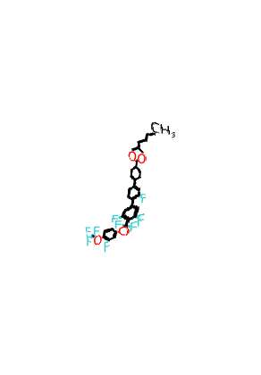 CCCCCC1COC(C2CCC(c3ccc(-c4cc(F)c(C(F)(F)Oc5ccc(OC(F)(F)F)c(F)c5)c(F)c4)c(F)c3)CC2)OC1